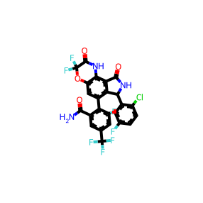 NC(=O)c1cc(C(F)(F)F)cc(F)c1-c1cc2c(c3c1C(c1cc(F)ccc1Cl)NC3=O)NC(=O)C(F)(F)O2